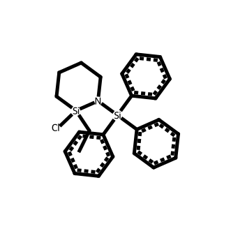 CC[Si]1(Cl)CCCCN1[Si](c1ccccc1)(c1ccccc1)c1ccccc1